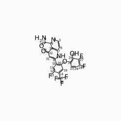 NC(=O)c1nccc2[nH]c(-c3cc(F)c(C(F)(F)F)cc3Oc3ccc(F)c(F)c3O)cc(=O)c12